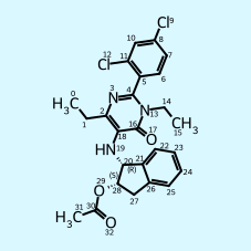 CCc1nc(-c2ccc(Cl)cc2Cl)n(CC)c(=O)c1N[C@@H]1c2ccccc2C[C@@H]1OC(C)=O